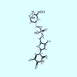 CCCCCCCCC(C)O[C@H](COP(=O)(O)OCC1OC(n2cc(F)c(=O)[nH]c2=O)CC1F)CSC